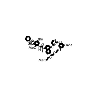 COCCOCCOCCOc1cc(Nc2nccc(Oc3ccc(NC(=O)Nc4cc(C(C)(C)C)cc(NS(=O)(=O)C5CCCCC5)c4OC)c4ccccc34)n2)cc(OC)c1